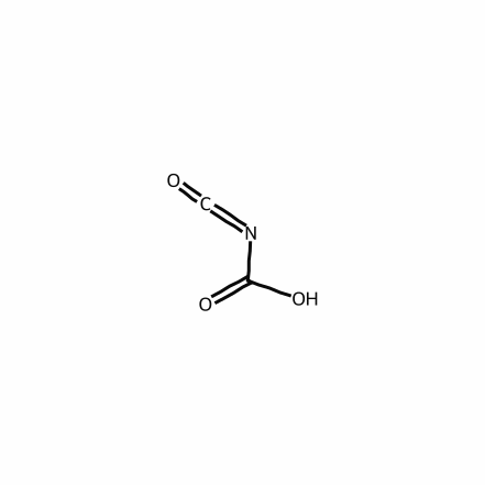 O=C=NC(=O)O